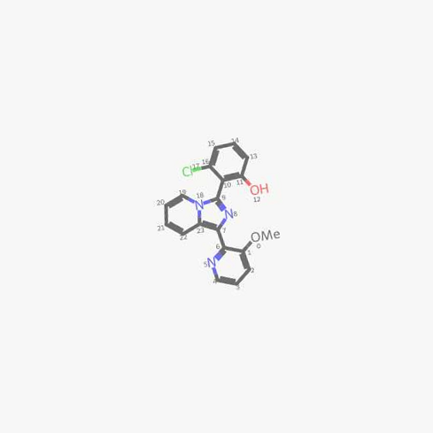 COc1cccnc1-c1nc(-c2c(O)cccc2Cl)n2ccccc12